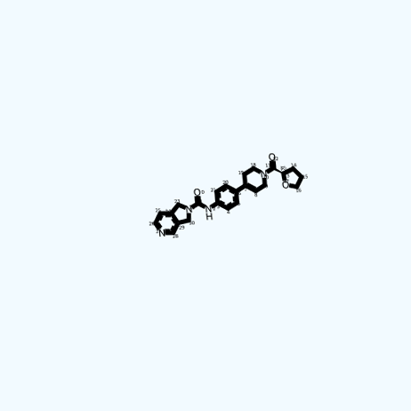 O=C(Nc1ccc(C2=CCN(C(=O)[C@H]3CCCO3)CC2)cc1)N1Cc2ccncc2C1